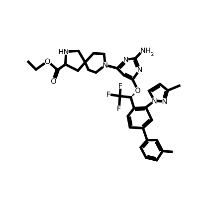 CCOC(=O)C1CC2(CCN(c3cc(O[C@H](c4ccc(-c5cccc(C)c5)cc4-n4ccc(C)n4)C(F)(F)F)nc(N)n3)CC2)CN1